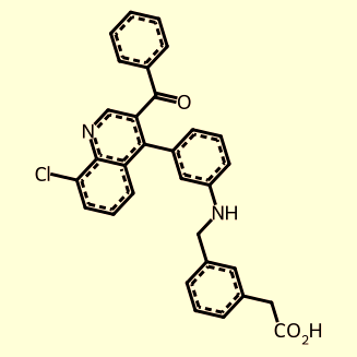 O=C(O)Cc1cccc(CNc2cccc(-c3c(C(=O)c4ccccc4)cnc4c(Cl)cccc34)c2)c1